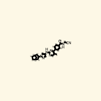 Cc1cnc(Nc2cnn(C3CC4CCC(C4)C3)c2)nc1-c1ccc(C(=O)NCC#N)cc1